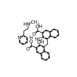 CNCCc1ccccn1.O=C(O)c1cc2ccccc2c(Cc2c(O)c(C(=O)O)cc3ccccc23)c1O